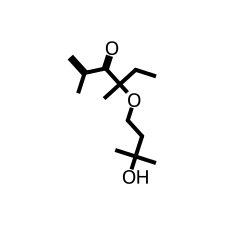 C=C(C)C(=O)C(C)(CC)OCCC(C)(C)O